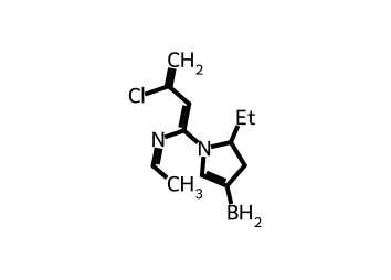 BC1=CN(C(=C/C(=C)Cl)/N=C\C)C(CC)C1